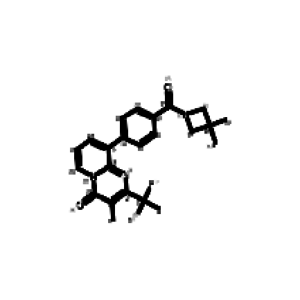 Cc1c(C(C)(F)F)nc2c(-c3ccc(C(=O)N4CC(C)(F)C4)cc3)cccn2c1=O